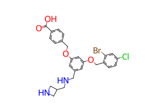 O=C(O)c1ccc(COc2cc(CNCC3CNC3)cc(OCc3ccc(Cl)cc3Br)c2)cc1